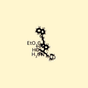 CCOC(=O)c1[nH]c2c(-c3c(CCN4CCOCC4)nn(C)c3CO)cccc2c1CCCOc1cccc2ccccc12